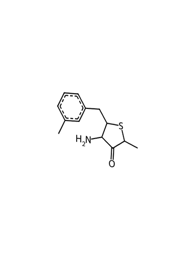 Cc1cccc(CC2SC(C)C(=O)C2N)c1